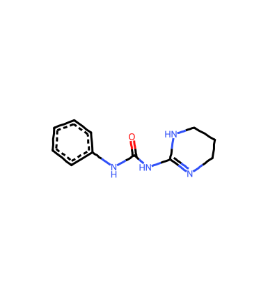 O=C(NC1=NCCCN1)Nc1ccccc1